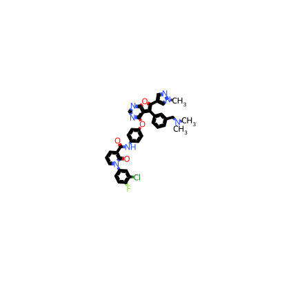 CN(C)Cc1cccc(-c2c(-c3cnn(C)c3)oc3ncnc(Oc4ccc(NC(=O)c5cccn(-c6ccc(F)c(Cl)c6)c5=O)cc4)c23)c1